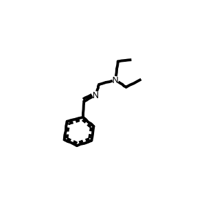 CCN(CC)CN=Cc1ccccc1